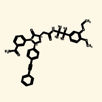 [2H]C([2H])(NC(=O)C[C@H]1S[C@@H](c2ccc(C#Cc3ccccc3)cc2)N(c2cccc(C(N)=O)c2)C1=O)C([2H])([2H])c1ccc(OC)c(OCC)c1